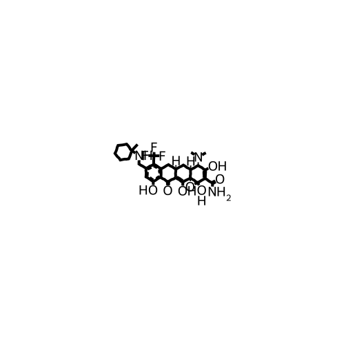 CN(C)[C@@H]1C(O)=C(C(N)=O)C2(O)O[C@@]23C(O)=C2C(=O)c4c(O)cc(CNC5(C)CCCCC5)c(C(F)(F)F)c4C[C@H]2C[C@@H]13